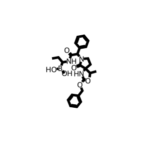 CCC(NC(=O)C(c1ccccc1)N1CCC(NC(=O)OCc2ccccc2)(C(C)C)C1=O)B(O)O